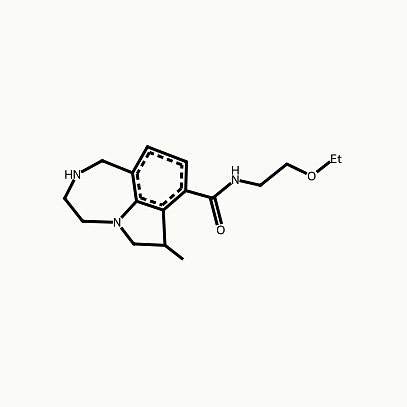 CCOCCNC(=O)c1ccc2c3c1C(C)CN3CCNC2